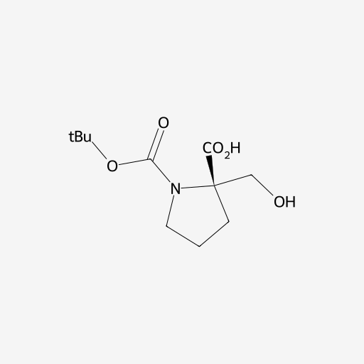 CC(C)(C)OC(=O)N1CCC[C@]1(CO)C(=O)O